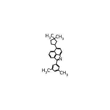 Cc1cc(C)cc(C2=Nc3ccc(C4CCC(C)(C)C4)c4cccc2c34)c1